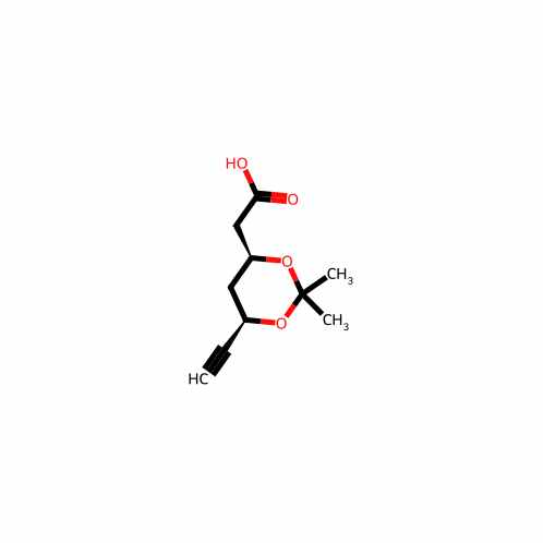 C#C[C@H]1C[C@@H](CC(=O)O)OC(C)(C)O1